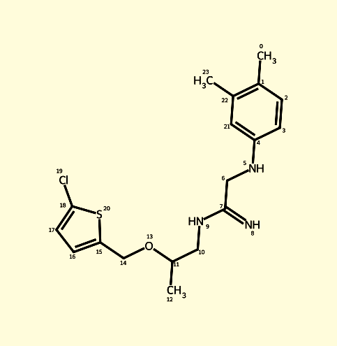 Cc1ccc(NCC(=N)NCC(C)OCc2ccc(Cl)s2)cc1C